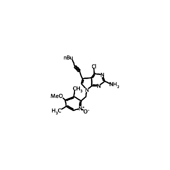 CCCCC#Cc1cn(Cc2c(C)c(OC)c(C)c[n+]2[O-])c2nc(N)nc(Cl)c12